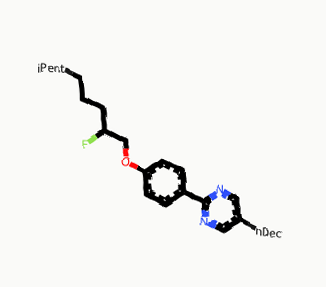 CCCCCCCCCCc1cnc(-c2ccc(OCC(F)CCCC(C)CCC)cc2)nc1